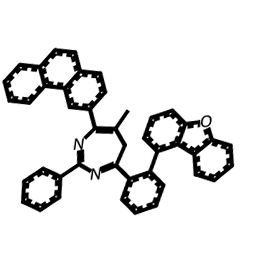 CC1=C(c2ccc3ccc4ccccc4c3c2)N=C(c2ccccc2)N=C(c2ccccc2-c2cccc3oc4ccccc4c23)C1